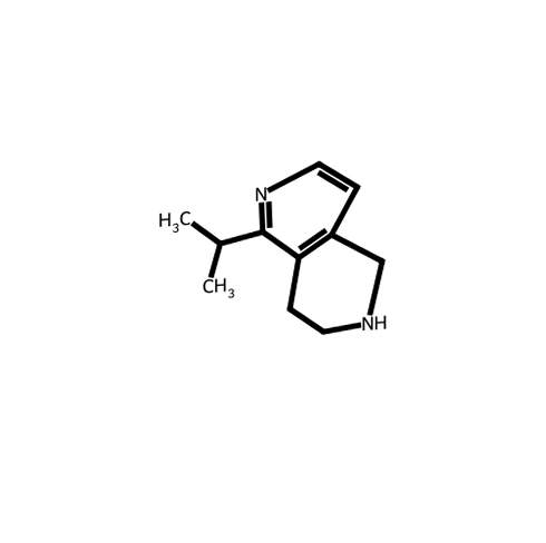 CC(C)c1nccc2c1CCNC2